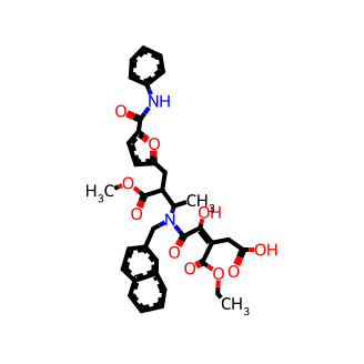 CCOC(=O)C(CC(=O)O)=C(O)C(=O)N(Cc1ccc2ccccc2c1)C(C)C(Cc1ccc(C(=O)Nc2ccccc2)o1)C(=O)OC